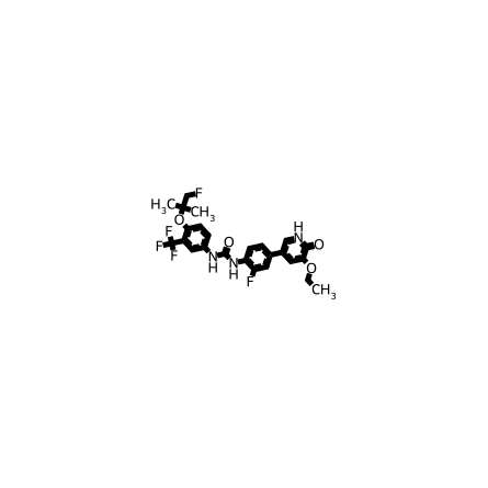 CCOc1cc(-c2ccc(NC(=O)Nc3ccc(OC(C)(C)CF)c(C(F)(F)F)c3)c(F)c2)c[nH]c1=O